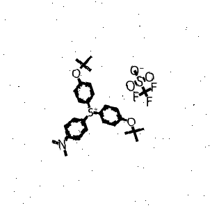 CN(C)c1ccc([S+](c2ccc(OC(C)(C)C)cc2)c2ccc(OC(C)(C)C)cc2)cc1.O=S(=O)([O-])C(F)(F)F